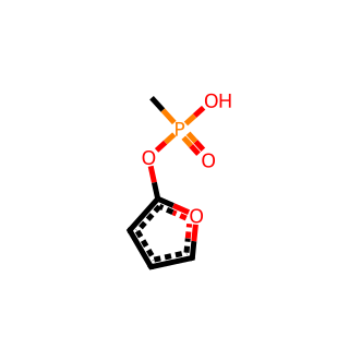 CP(=O)(O)Oc1ccco1